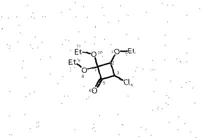 CCOC1C(Cl)C(=O)C1(OCC)OCC